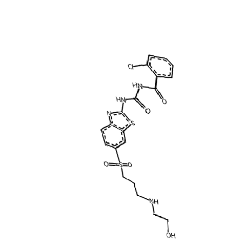 O=C(NC(=O)c1ccccc1Cl)Nc1nc2ccc(S(=O)(=O)CCCNCCO)cc2s1